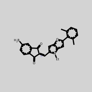 Bc1ccc2c(c1)C(=O)/C(=C\c1cc3oc(-c4c(C)cccc4C)cc3n1CC)C2=O